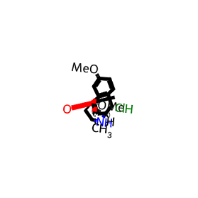 COc1ccc2c(c1)[C@]13CCN[C@H](C2)C1(OC)[C@@H](C)CC(=O)C3.Cl